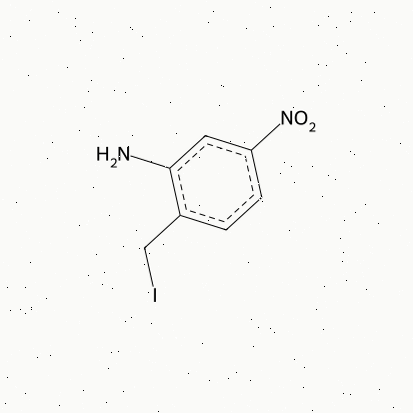 Nc1cc([N+](=O)[O-])ccc1CI